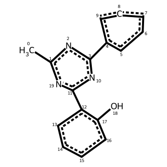 Cc1nc(-c2ccccc2)nc(-c2ccccc2O)n1